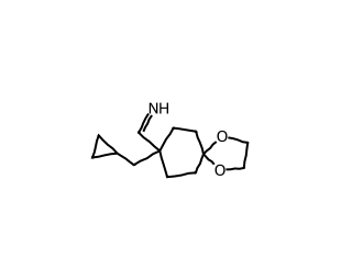 N=CC1(CC2CC2)CCC2(CC1)OCCO2